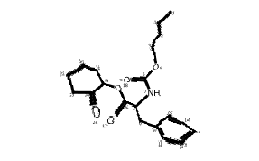 CCCCOC(=O)N[C@@H](Cc1ccccc1)C(=O)OC1CCCCC1=O